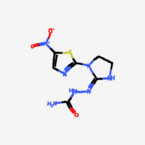 NC(=O)NN=C1NCCN1c1ncc([N+](=O)[O-])s1